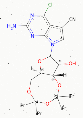 CC(C)[Si]1(C(C)C)OC[C@H]2OC(n3cc(C#N)c4c(Cl)nc(N)nc43)[C@H](O)[C@@H]2O[Si](C(C)C)(C(C)C)O1